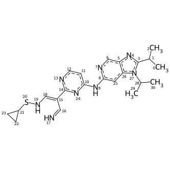 CC(C)c1nc2cnc(Nc3ccnc(/C(C=N)=C/NSC4CC4)n3)cc2n1C(C)C